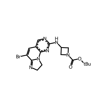 CC(C)(C)OC(=O)N1CC(Nc2ncc3c(n2)N2CCN=C2C(Br)=C3)C1